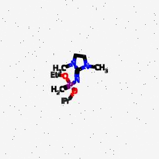 C=P(N=C1N(C)CCN1C)(OCC)OC(C)C